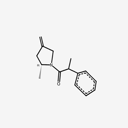 C=C1C[C@@H](C)N(C(=O)C(C)c2ccccc2)C1